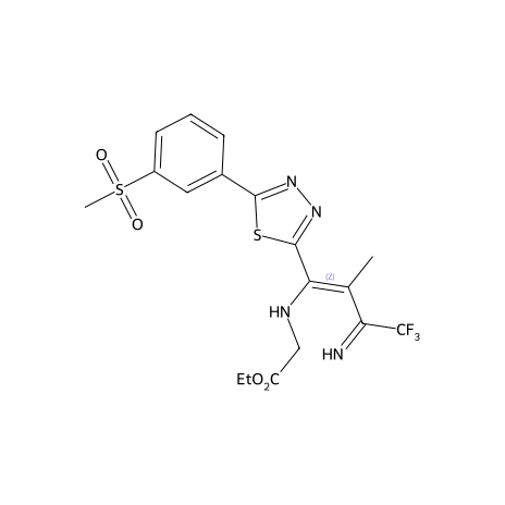 CCOC(=O)CN/C(=C(/C)C(=N)C(F)(F)F)c1nnc(-c2cccc(S(C)(=O)=O)c2)s1